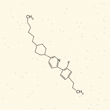 CCCCCCC1CCC(c2ccc(-c3ccc(CCC)cc3F)nc2)CC1